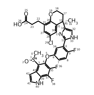 C[S@+]([O-])c1c(Oc2ccc(F)c(-c3nc([C@]4(C)CCOc5c(CCC(=O)O)cc(Cl)cc54)c[nH]3)c2)c(F)c(F)c2[nH]ccc12